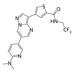 CN(C)c1ccc(-c2cnc3c(-c4csc(C(=O)NCC(F)(F)F)c4)cnn3c2)cn1